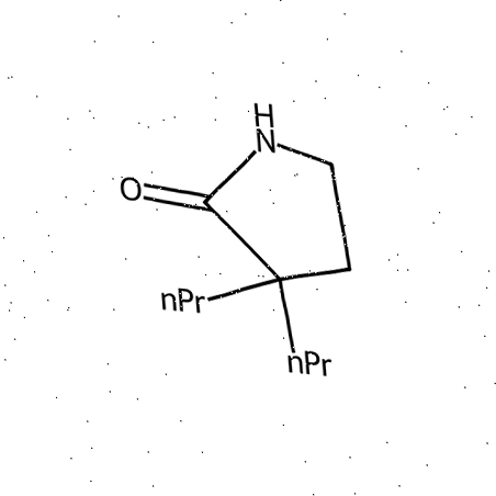 CCCC1(CCC)CCNC1=O